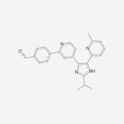 Cc1cccc(-c2[nH]c(C(C)C)nc2-c2ccnc(-c3ccc(C=O)cc3)c2)n1